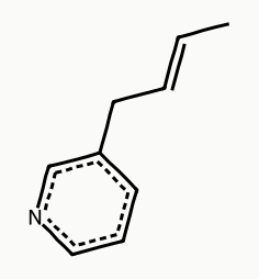 C/C=C/Cc1cccnc1